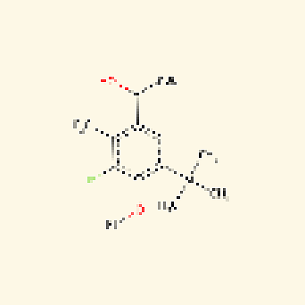 CCCCC(O)c1cc([Si](C)(C)C)c(OCC)c(F)c1C(F)(F)F